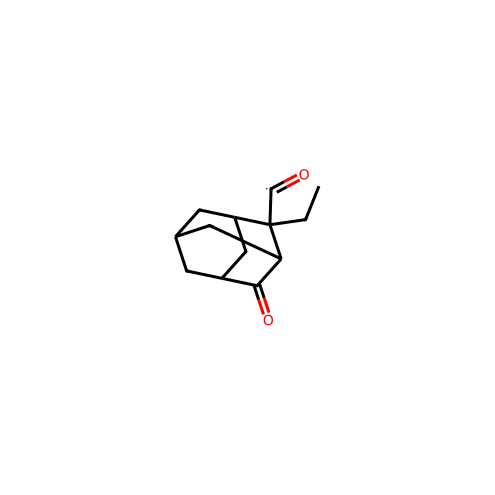 CCC1([C]=O)C2CC3CC(C2)C(=O)C1C3